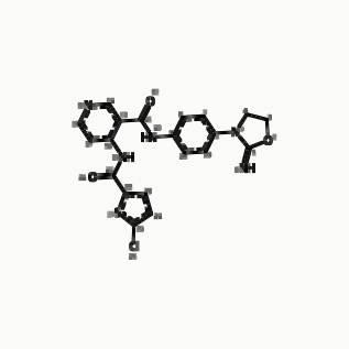 N=C1OCCN1c1ccc(NC(=O)c2cnccc2NC(=O)c2ccc(Cl)s2)cc1